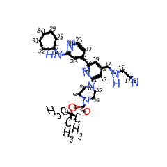 CC(C)(C)OC(=O)N1CCN(c2cc(CNCC#N)cc(-c3ccnc(NC4CCCCC4)c3)n2)CC1